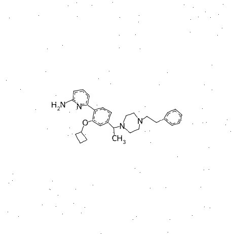 CC(c1ccc(-c2cccc(N)n2)c(OC2CCC2)c1)N1CCN(CCc2ccccc2)CC1